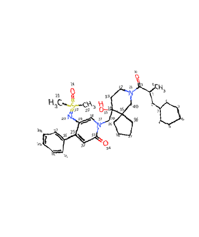 CC(CC1CCCCC1)C(=O)N1CCC(O)(Cn2cc(N=S(C)(C)=O)c(-c3ccccc3)cc2=O)C2(CCCC2)C1